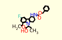 C=Cc1cc(F)cc2c3c(n(C(CC)C(=O)O)c12)CCC(NC(=O)OCc1ccccc1)C3